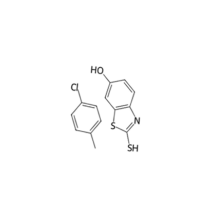 Cc1ccc(Cl)cc1.Oc1ccc2nc(S)sc2c1